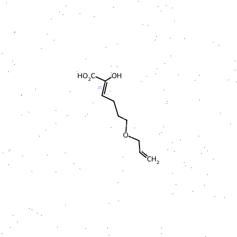 C=CCOCCC/C=C(\O)C(=O)O